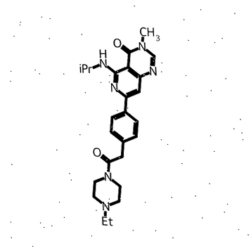 CCN1CCN(C(=O)Cc2ccc(-c3cc4ncn(C)c(=O)c4c(NC(C)C)n3)cc2)CC1